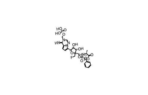 C[C@H](N[P@](=O)(OC[C@@]1(CF)O[C@@H](c2ccc3c(=N)n(COP(=O)(O)O)cnn23)[C@H](O)[C@@H]1O)Oc1ccccc1)C(=O)O